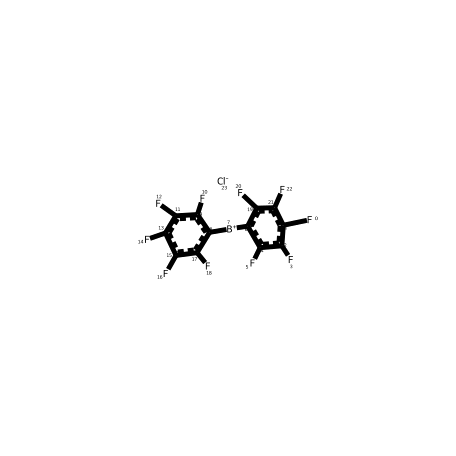 Fc1c(F)c(F)c([B+]c2c(F)c(F)c(F)c(F)c2F)c(F)c1F.[Cl-]